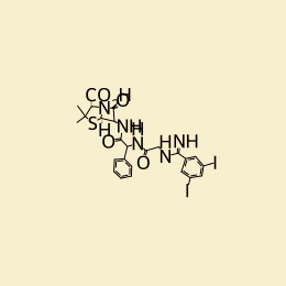 CC1(C)S[C@@H]2[C@H](NC(=O)C(NC(=O)CNC(=N)c3cc(I)cc(I)c3)c3ccccc3)C(=O)N2[C@H]1C(=O)O